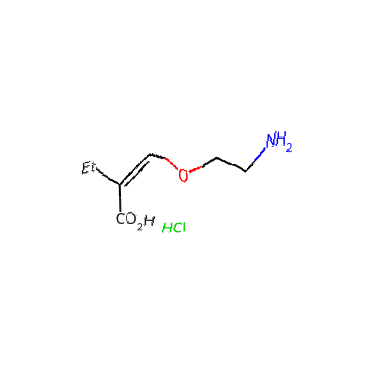 CC/C(=C/OCCN)C(=O)O.Cl